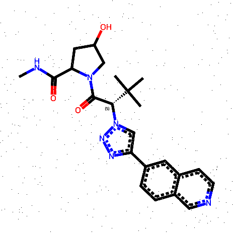 CNC(=O)C1CC(O)CN1C(=O)[C@@H](n1cc(-c2ccc3cnccc3c2)nn1)C(C)(C)C